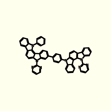 c1ccc(-n2c3ccccc3c3ccc4c(c5ccc(-c6ccc(-n7c8ccccc8c8c7ccc7c9ccccc9n(-c9ncccn9)c78)cc6)cc5n4-c4ncccn4)c32)cc1